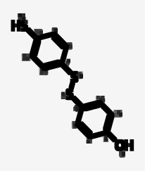 Oc1ccc(SSc2ccc(S)cc2)cc1